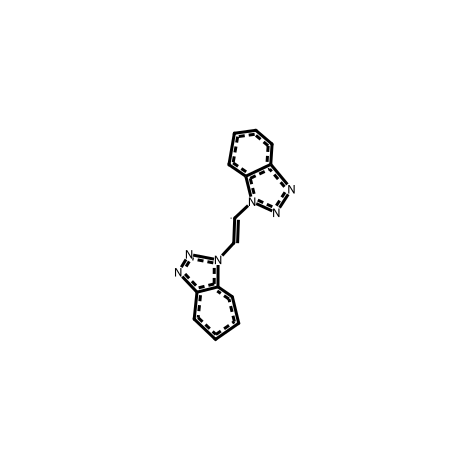 [C](=Cn1nnc2ccccc21)n1nnc2ccccc21